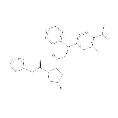 Cc1cc([C@@H](NC(=O)[C@@H]2C[C@@H](F)CN2C(=O)Cc2cnn[nH]2)c2ccccc2)ccc1C(C)C